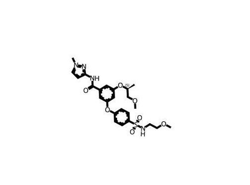 COCCNS(=O)(=O)c1ccc(Oc2cc(O[C@@H](C)COC)cc(C(=O)Nc3ccn(C)n3)c2)cc1